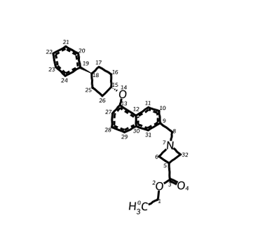 CCOC(=O)C1CN(Cc2ccc3c(O[C@H]4CC[C@H](c5ccccc5)CC4)cccc3c2)C1